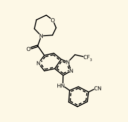 N#Cc1cccc(Nc2nn(CC(F)(F)F)c3cc(C(=O)N4CCCOCC4)ncc23)c1